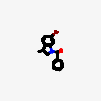 CC1CN(C(=O)c2ccccc2)c2cc(Br)ccc21